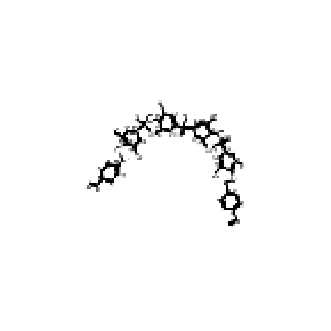 C=Cc1ccc(COc2c(C)cc(C(C)(C)Oc3c(C)cc(C(C)(C)c4cc(C)c(OC(C)(C)c5cc(C)c(OCc6ccc(C=C)cc6)c(C)c5)c(C)c4)cc3C)cc2C)cc1